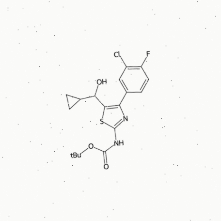 CC(C)(C)OC(=O)Nc1nc(-c2ccc(F)c(Cl)c2)c(C(O)C2CC2)s1